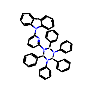 c1ccc(B2N(c3ccccc3)B(c3ccccc3)N(c3cccc(-n4c5ccccc5c5ccccc54)n3)B(c3ccccc3)N2c2ccccc2)cc1